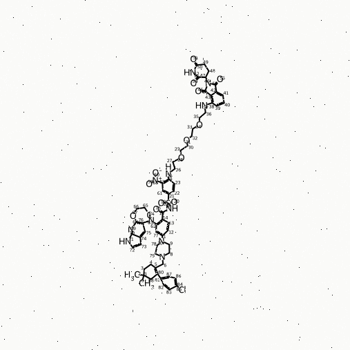 CC1(C)CCC(CN2CCN(c3ccc(C(=O)NS(=O)(=O)c4ccc(NCCOCCOCCOCCNc5cccc6c5C(=O)N(C5CCC(=O)NC5=O)C6=O)c([N+](=O)[O-])c4)c(N4CCCOc5nc6[nH]ccc6cc54)c3)CC2)=C(c2ccc(Cl)cc2)C1